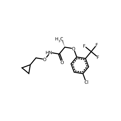 C[C@H](Oc1ccc(Cl)cc1C(F)(F)F)C(=O)NOCC1CC1